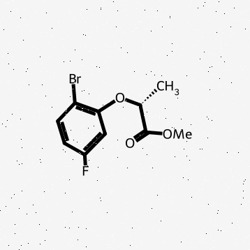 COC(=O)[C@@H](C)Oc1cc(F)ccc1Br